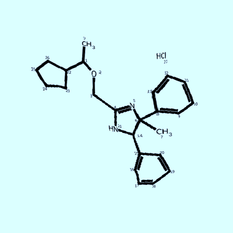 CC(OCC1=NC(C)(c2ccccc2)C(c2ccccc2)N1)C1CCCC1.Cl